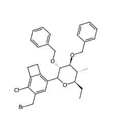 CC[C@H]1OC(c2cc(CBr)c(Cl)c3c2CC3)[C@H](OCc2ccccc2)[C@@H](OCc2ccccc2)[C@@H]1C